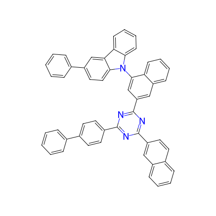 c1ccc(-c2ccc(-c3nc(-c4ccc5ccccc5c4)nc(-c4cc(-n5c6ccccc6c6cc(-c7ccccc7)ccc65)c5ccccc5c4)n3)cc2)cc1